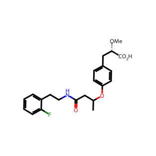 CO[C@@H](Cc1ccc(OC(C)CC(=O)NCCc2ccccc2F)cc1)C(=O)O